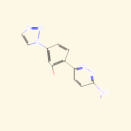 CNc1ccc(-c2ccc(-n3ccnn3)cc2O)nn1